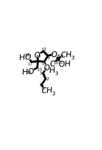 CCCCO[C@@H]1C(OC(C)(C)O)COC1(CO)CO